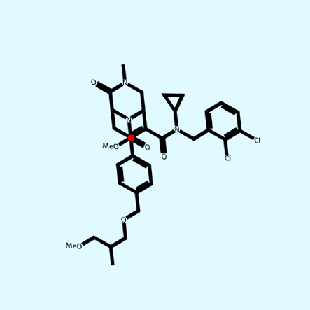 COCC(C)COCc1ccc(C2=C(C(=O)N(Cc3cccc(Cl)c3Cl)C3CC3)C3CN(C)C(=O)C(C2)N3C(=O)OC)cc1